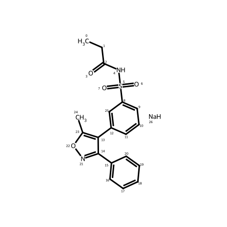 CCC(=O)NS(=O)(=O)c1cccc(-c2c(-c3ccccc3)noc2C)c1.[NaH]